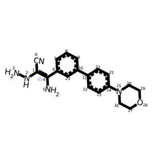 N#C/C(NN)=C(/N)c1cccc(-c2ccc(N3CCOCC3)cc2)c1